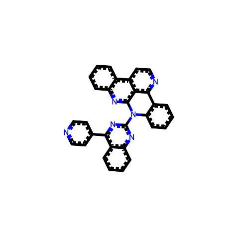 c1ccc2c(c1)-c1nccc3c1c(nc1ccccc13)N2c1nc(-c2ccncc2)c2ccccc2n1